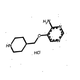 Cl.Nc1ncncc1OCC1CCNCC1